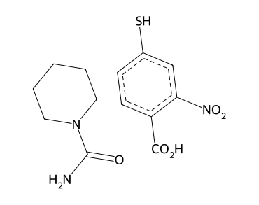 NC(=O)N1CCCCC1.O=C(O)c1ccc(S)cc1[N+](=O)[O-]